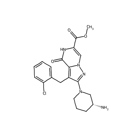 COC(=O)c1cn2nc(N3CCC[C@@H](N)C3)c(Cc3ccccc3Cl)c2c(=O)[nH]1